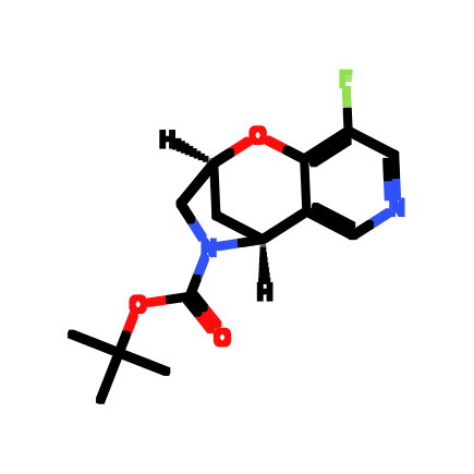 CC(C)(C)OC(=O)N1C[C@@H]2C[C@H]1c1cncc(F)c1O2